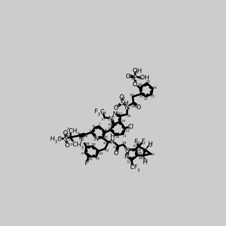 CC(C)(C#Cc1ccc(-c2ccc(Cl)c3c(CN(C(=O)Cc4ccccc4OP(=O)(O)O)[SH](=O)=O)nn(CC(F)(F)F)c23)c(C(Cc2cc(F)cc(F)c2)NC(=O)Cn2nc(C(F)(F)F)c3c2C(F)(F)[C@@H]2C[C@H]32)n1)S(C)(=O)=O